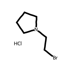 BrCCN1CCCC1.Cl